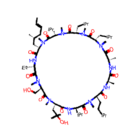 C/C=C/C[C@@H](C)C[C@H]1C(=O)N[C@@H](CC)C(=O)N(C)[C@H](CO)C(=O)N(C)[C@@H](CC(C)(C)O)C(=O)N[C@H](C(C)C)C(=O)N(C)[C@H](CCC(C)C)C(=O)N[C@H](C)C(=O)N[C@@H](C)C(=O)N(C)[C@@H](CC(C)C)C(=O)N(C)[C@@H](CC(C)C)C(=O)N(C)[C@@H](C(C)C)C(=O)N1C